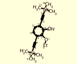 CCOc1c(C#C[N+](C)(C)C)ccc(C#C[N+](C)(C)C)c1O